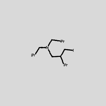 CC(C)CN(CC(C)C)CC(CI)C(C)C